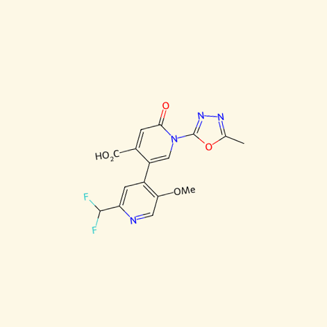 COc1cnc(C(F)F)cc1-c1cn(-c2nnc(C)o2)c(=O)cc1C(=O)O